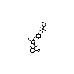 COC1CN(C(=O)c2c(C)cccc2C2CC2)CC1Oc1cccc(OS(=O)(=O)N(C)C2CCOCC2)c1